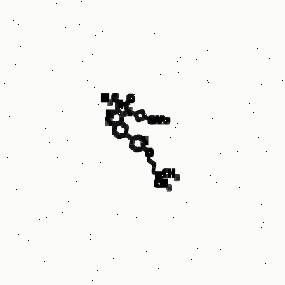 COC1CC(n2c(=O)n(C)c3nnc4ccc(-c5ccc(OCCCN(C)C)nc5)cc4c32)C1